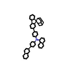 c1ccc2c(c1)-c1ccc(-c3ccc(N(c4ccc(-c5ccc6ccccc6c5)cc4)c4cccc5ccccc45)cc3)cc1C21C2CC3CC(C2)CC1C3